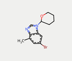 Cc1cc(Br)cc2c1ncn2C1CCCCO1